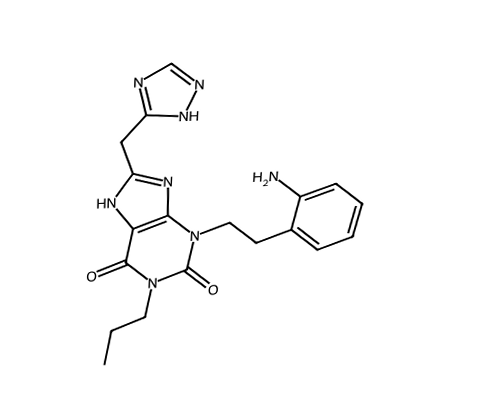 CCCn1c(=O)c2[nH]c(Cc3ncn[nH]3)nc2n(CCc2ccccc2N)c1=O